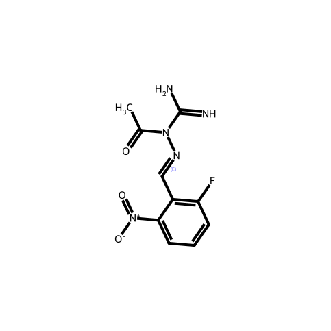 CC(=O)N(/N=C/c1c(F)cccc1[N+](=O)[O-])C(=N)N